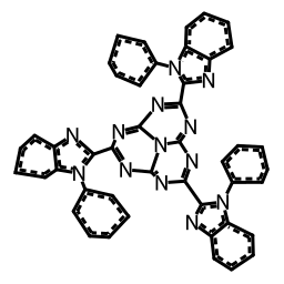 c1ccc(-n2c(C3=NC4=NC(c5nc6ccccc6n5-c5ccccc5)=NC5=NC(c6nc7ccccc7n6-c6ccccc6)=NC(=N3)N45)nc3ccccc32)cc1